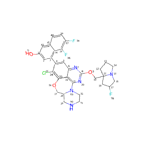 Oc1cc(-c2cc3nc(OCC45CCCN4CC(F)C5)nc4c3c(c2Cl)OCC2CNCCN42)c2c(F)c(F)ccc2c1